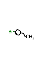 CCCC1CC=C(Br)CC1